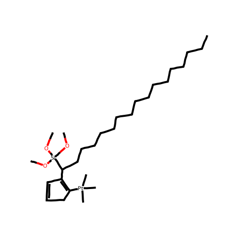 CCCCCCCCCCCCCCCCC(C1=[C]([Pt]([CH3])([CH3])[CH3])CC=C1)[Si](OC)(OC)OC